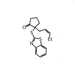 CC/C=C\CC1(Sc2nc3ccccc3s2)CCCC1=O